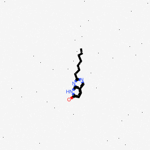 CCCCCCCc1ncc2ccc(=O)[nH]c2n1